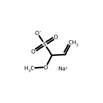 C=CC(OC)S(=O)(=O)[O-].[Na+]